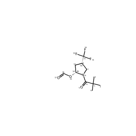 CC(C)(C)C(=O)N1C[C@@H](C(F)(F)F)C[C@H]1OC=O